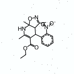 CCOC(=O)C1=C(C)NC2(C)ON=C(C)C2C1c1ccccc1[N+](=O)[O-]